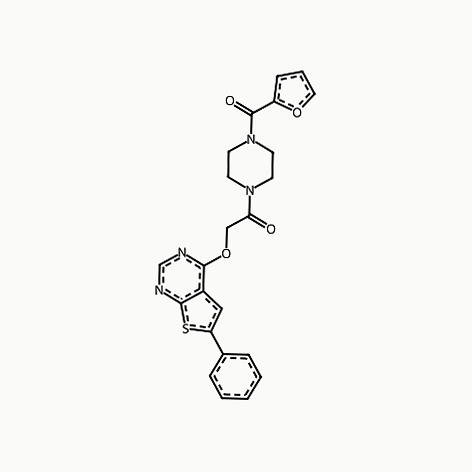 O=C(COc1ncnc2sc(-c3ccccc3)cc12)N1CCN(C(=O)c2ccco2)CC1